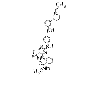 CC=CN1CCC[C@@H](c2cccc(NCc3ccc(Nc4ncc(C(F)(F)F)c(Nc5ccccc5C(=O)NC)n4)cc3)c2)C1